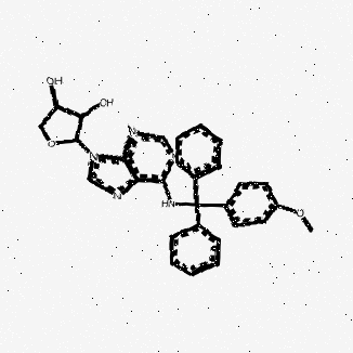 COc1ccc(C(Nc2ncnc3c2ncn3C2OCC(O)C2O)(c2ccccc2)c2ccccc2)cc1